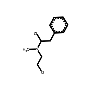 CN(CCCl)C(Cl)Cc1ccccc1